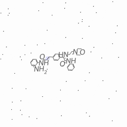 Nc1ccccc1NC(=O)/C=C/c1ccc(C(NCCN2CCOCC2)C(=O)Nc2ccccc2)cc1